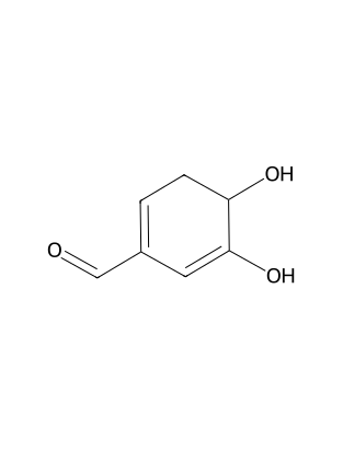 O=CC1=CCC(O)C(O)=C1